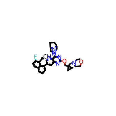 C#Cc1c(F)ccc2cccc(-c3cnc4c(N5CC6CCC(C5)N6)nc(OCC5(CN6CCOCC6)CC5)nc4c3)c12